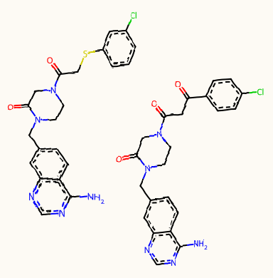 Nc1ncnc2cc(CN3CCN(C(=O)CC(=O)c4ccc(Cl)cc4)CC3=O)ccc12.Nc1ncnc2cc(CN3CCN(C(=O)CSc4cccc(Cl)c4)CC3=O)ccc12